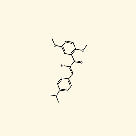 COc1ccc(OC)c(C(=O)C(Br)=Cc2ccc(N(C)C)cc2)c1